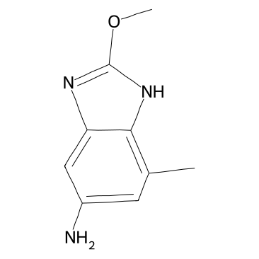 COc1nc2cc(N)cc(C)c2[nH]1